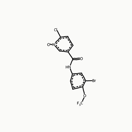 O=C(Nc1ccc(OC(F)(F)F)c(Br)c1)c1ccc(Cl)[n+]([O-])c1